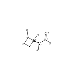 CC(=O)N(C)[Si]1(C)CCC1C